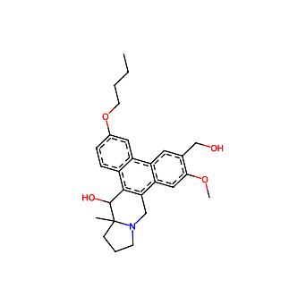 CCCCOc1ccc2c3c(c4cc(OC)c(CO)cc4c2c1)CN1CCCC1(C)C3O